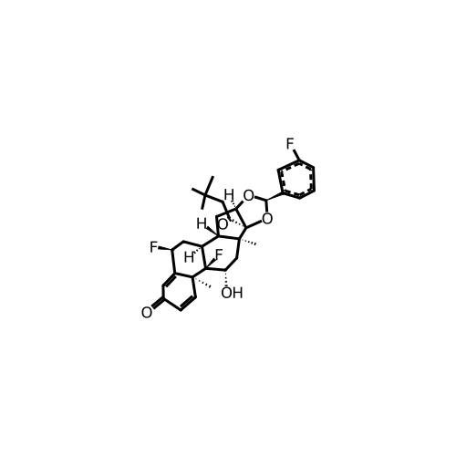 CC(C)(C)CC(=O)[C@@]12O[C@H](c3cccc(F)c3)O[C@@H]1C[C@H]1[C@@H]3C[C@H](F)C4=CC(=O)C=C[C@]4(C)[C@@]3(F)[C@@H](O)C[C@@]12C